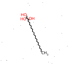 CCCCCCCCCCCCCCCCCCCC[C@H](O)[C@@H](O)CO